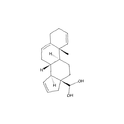 C[C@]12C=CCCC1=CC[C@H]1[C@@H]3C=CC[C@@]3(C(O)O)CC[C@@H]12